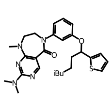 CCC(C)CCC(Oc1cccc(N2CCN(C)c3nc(N(C)C)ncc3C2=O)c1)c1cccs1